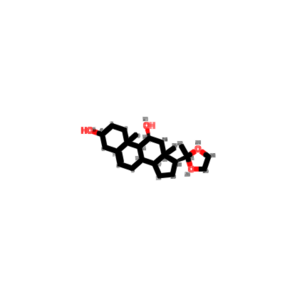 CC12CCC(O)CC1=CCC1C2[C@@H](O)CC2(C)C1CC[C@@H]2C1(C)OCCO1